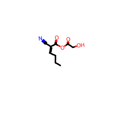 CCCC=C(C#N)C(=O)OC(=O)CO